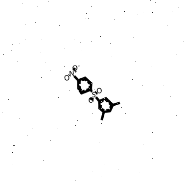 Cc1cc(C)cc(S(=O)(=O)c2ccc([N+](=O)[O-])cc2)c1